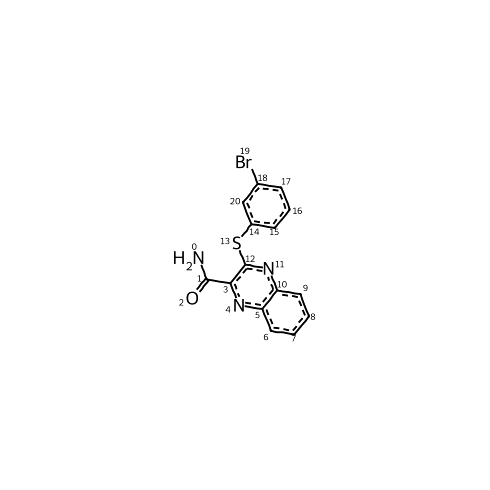 NC(=O)c1nc2ccccc2nc1Sc1cccc(Br)c1